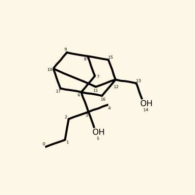 CCCC(C)(O)C12CC3CC(CC(CO)(C3)C1)C2